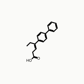 CCC(=CCC(=O)O)c1ccc(-c2ccccc2)cc1